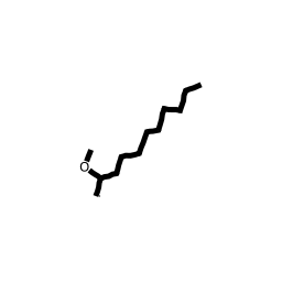 [CH2]C(CCCCCCCCC)OC